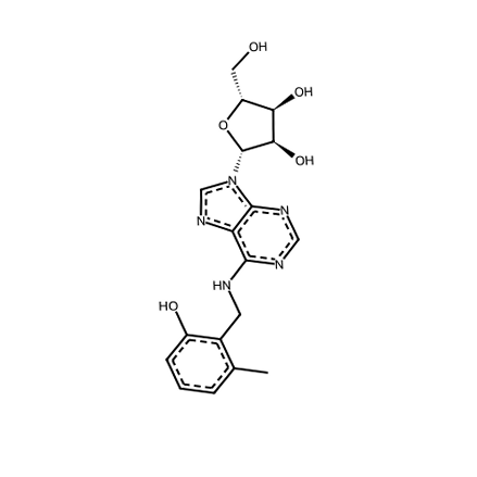 Cc1cccc(O)c1CNc1ncnc2c1ncn2[C@@H]1O[C@H](CO)[C@@H](O)[C@H]1O